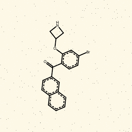 O=C(c1ccc2ccccc2c1)c1ccc(Br)cc1OC1CNC1